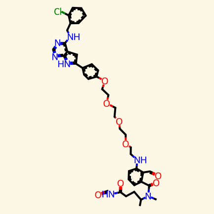 CC(CCC(=O)NC=O)N(C)C(=O)c1cccc(NCCOCCOCCOCCOc2ccc(-c3cc4c(NCc5ccccc5Cl)ncnc4[nH]3)cc2)c1C=O